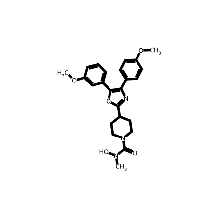 COc1ccc(-c2nc(C3CCN(C(=O)N(C)O)CC3)oc2-c2cccc(OC)c2)cc1